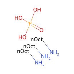 CCCCCCCCN.CCCCCCCCN.CCCCCCCCN.O=P(O)(O)O